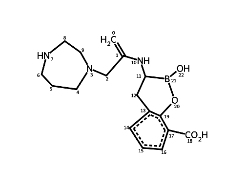 C=C(CN1CCCNCC1)NC1Cc2cccc(C(=O)O)c2OB1O